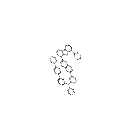 c1ccc(-c2ccc(-c3cccc(N(c4ccccc4)c4cccc(-c5ccc6cc(-c7cccc8c7oc7c(-c9ccccc9)cccc78)ccc6c5)c4)c3)cc2)cc1